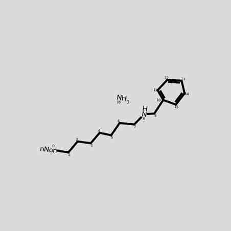 CCCCCCCCCCCCCCCCNCc1ccccc1.N